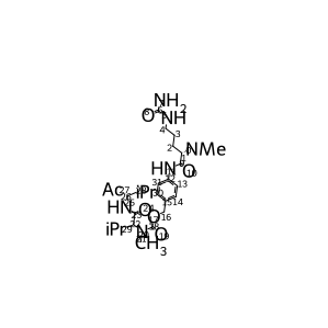 CN[C@@H](CCCNC(N)=O)C(=O)Nc1ccc(COC(=O)N(C)[C@H](C(=O)N[C@H](C(C)=O)C(C)C)C(C)C)cc1